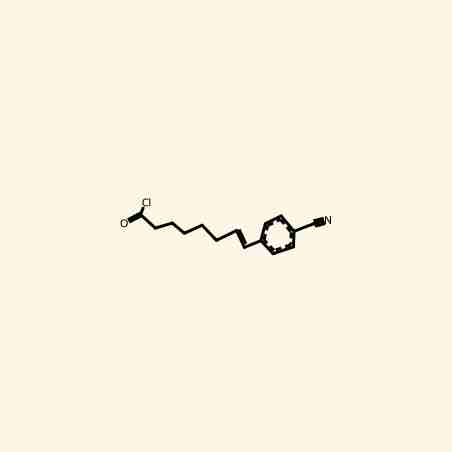 N#Cc1ccc(/C=C/CCCCCC(=O)Cl)cc1